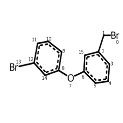 BrCc1cccc(Oc2cccc(Br)c2)c1